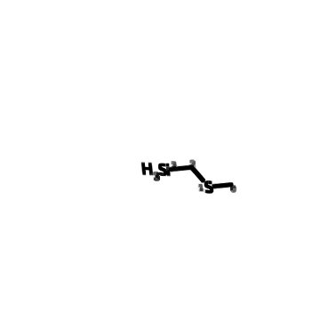 CSC[SiH3]